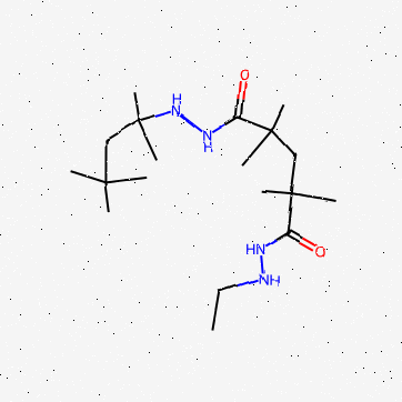 CCNNC(=O)C(C)(C)CC(C)(C)C(=O)NNC(C)(C)CC(C)(C)C